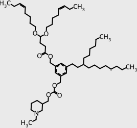 CC/C=C\CCCCOC(CCC(=O)OCc1cc(CCC(CCCC[CH]CCC)CCCCCC)cc(COC(=O)OCC2CCCN(CC)C2)c1)OCCCC/C=C\CC